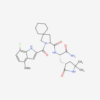 COc1ccc(F)c2[nH]c(C(=O)N3CC4(CCCCC4)CC3C(=O)N[C@@H](C[C@@H]3CC(C)(C)NC3=O)C(N)=O)cc12